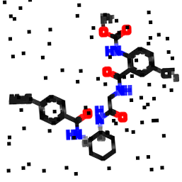 CSc1ccc(C(=O)N[C@H]2CCCC[C@H]2NC(=O)CNC(=O)c2cc(C(F)(F)F)ccc2NC(=O)OC(C)C)cc1